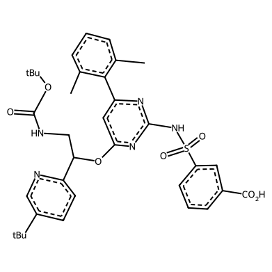 Cc1cccc(C)c1-c1cc(OC(CNC(=O)OC(C)(C)C)c2ccc(C(C)(C)C)cn2)nc(NS(=O)(=O)c2cccc(C(=O)O)c2)n1